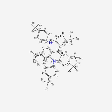 CC(C)c1cc2c3c(c1)N(c1ccc(C(C)(C)C)cc1-c1ccccc1)c1cc4c(cc1B3c1cc(C(C)(C)C)ccc1N2c1ccc(C(C)(C)C)cc1)C(C)(C)CC4(C)C